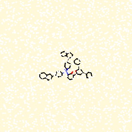 c1ccc(-c2cc(-c3ccccc3)c3oc4c(N(c5ccc(-c6ccc7ccccc7c6)cc5)c5ccc(-c6cccc7ccccc67)cc5)cccc4c3c2)cc1